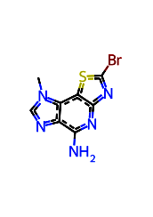 Cn1cnc2c(N)nc3nc(Br)sc3c21